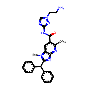 CCn1c(C(c2ccccc2)c2ccccc2)nc2nc(OC)c(C(=O)Nc3ncn(CCN)n3)cc21